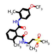 Cc1cc(OC(F)(F)F)ccc1NC(=O)c1cccc(C)c1C(=O)N[C@@H](C)CS(C)(=O)=O